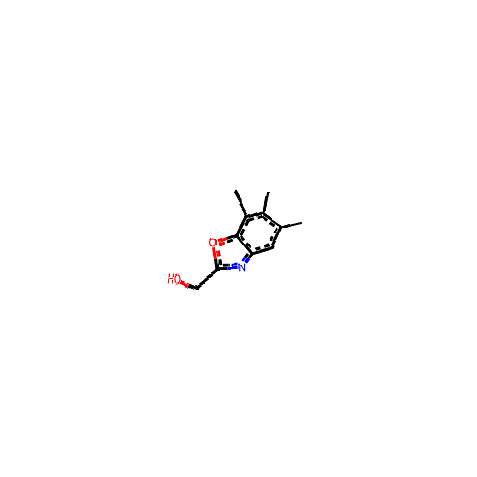 Cc1cc2nc(CO)oc2c(C)c1C